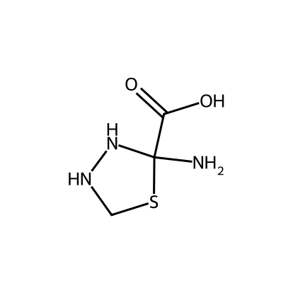 NC1(C(=O)O)NNCS1